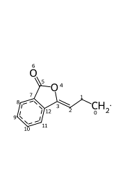 [CH2]C/C=C1\OC(=O)c2ccccc21